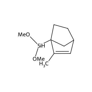 CO[SiH](OC)C12CCC(C=C1C)C2